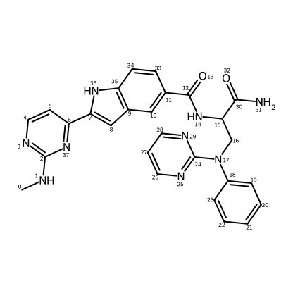 CNc1nccc(-c2cc3cc(C(=O)NC(CN(c4ccccc4)c4ncccn4)C(N)=O)ccc3[nH]2)n1